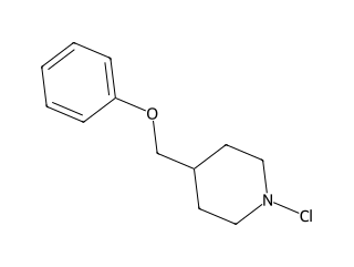 ClN1CCC(COc2ccccc2)CC1